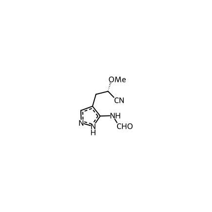 CO[C@H](C#N)Cc1cn[nH]c1NC=O